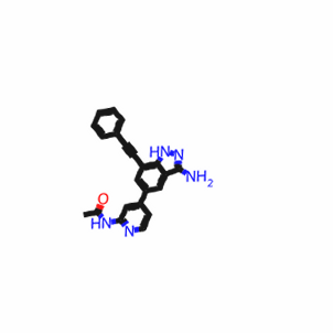 CC(=O)Nc1cc(-c2cc(C#Cc3ccccc3)c3[nH]nc(N)c3c2)ccn1